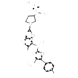 CCc1nc2sc(N3CCC(N(C)S(C)(=O)=O)C3)nn2c1N(C)c1nc(-c2ccc(F)cc2)c(C#N)s1